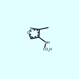 Cc1nocc1NC(=O)O